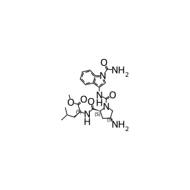 COC(=O)[C@H](CC(C)C)NC(=O)[C@@H]1C[C@H](N)CN1C(=O)Nc1cn(C(N)=O)c2ccccc12